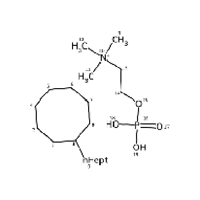 CCCCCCCC1CCCCCCC1.C[N+](C)(C)CCOP(=O)(O)O